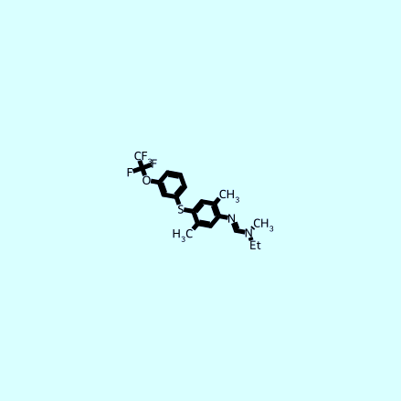 CCN(C)C=Nc1cc(C)c(Sc2cccc(OC(F)(F)C(F)(F)F)c2)cc1C